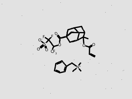 C=CC(=O)OC1(C)C2CC3CC1CC(C(=O)OC(C(F)(F)F)C(F)(F)S(=O)(=O)[O-])(C3)C2.C[N+](C)(C)Cc1ccccc1